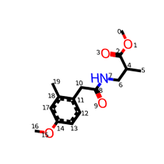 COC(=O)C(C)CNC(=O)Cc1ccc(OC)cc1C